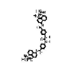 O=C(Nc1ccc(C(=O)N=C2C=CC(O)=C3C2=CC=CC3S(=O)(=O)O)cc1)Nc1ccc(C(=O)N=C2C=CC(O)=C3C2=CC=CC3S(=O)(=O)O)cc1